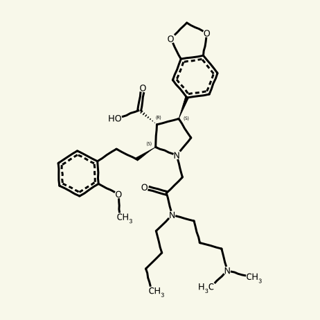 CCCCN(CCCN(C)C)C(=O)CN1C[C@H](c2ccc3c(c2)OCO3)[C@@H](C(=O)O)[C@@H]1CCc1ccccc1OC